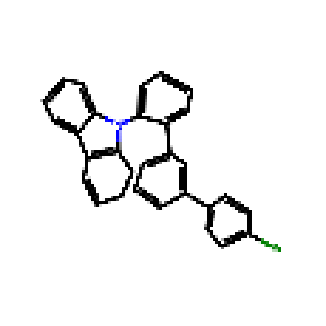 Brc1ccc(-c2cccc(-c3ccccc3-n3c4c(c5ccccc53)C=CCC4)c2)cc1